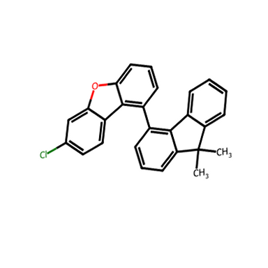 CC1(C)c2ccccc2-c2c(-c3cccc4oc5cc(Cl)ccc5c34)cccc21